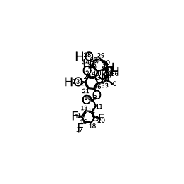 CN1CC[C@]23c4c5c(OC(=O)Cc6cc(F)c(F)cc6F)cc(O)c4O[C@H]2[C@@H](O)C=C[C@H]3[C@H]1C5